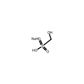 O=S(=O)(O)CO.[NaH]